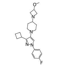 COC1CN(C2CCN(c3cn(-c4ccc(F)cc4)nc3C3CCC3)CC2)C1